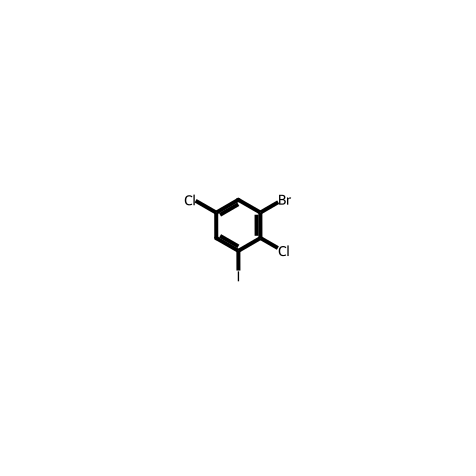 Clc1cc(Br)c(Cl)c(I)c1